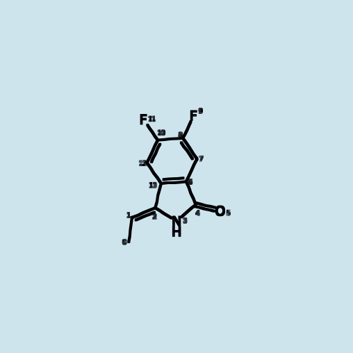 CC=C1NC(=O)c2cc(F)c(F)cc21